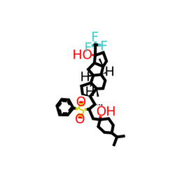 CC(C)C1CCC(O)(CC([C@@H](C)[C@H]2CC[C@H]3[C@@H]4CC5[C@](C)(CC[C@@]5(O)C(F)(F)F)[C@H]4CC[C@]23C)S(=O)(=O)c2ccccc2)CC1